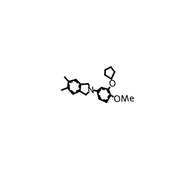 COc1ccc(N2Cc3cc(C)c(C)cc3C2)cc1OC1CCCC1